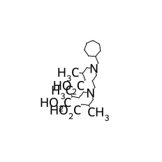 CC(CC(=O)O)CN(CCCN(CC(C)CC(=O)O)CC1CCCCCC1)CCC(C)C(=O)O